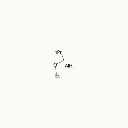 [AlH3].[CH2]COCCCC